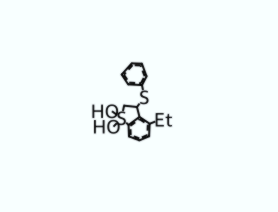 CCc1cccc2c1C(Sc1ccccc1)CS2(O)O